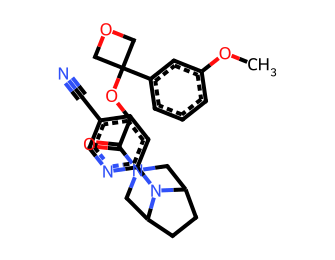 COc1cccc(C2(OCC(=O)N3CC4CCC(C3)N4c3ccc(C#N)cn3)COC2)c1